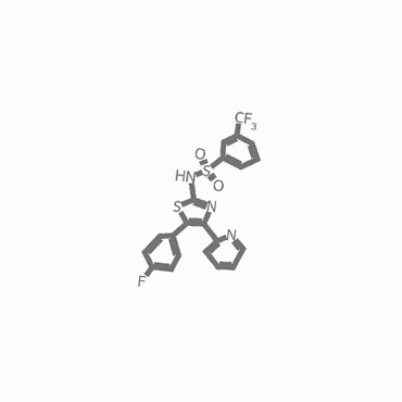 O=S(=O)(Nc1nc(-c2ccccn2)c(-c2ccc(F)cc2)s1)c1cccc(C(F)(F)F)c1